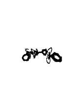 O=C(Oc1ccc(-c2cn3c4c(sc3n2)CCCC4)cc1)c1ccccc1